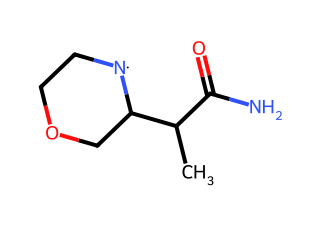 CC(C(N)=O)C1COCC[N]1